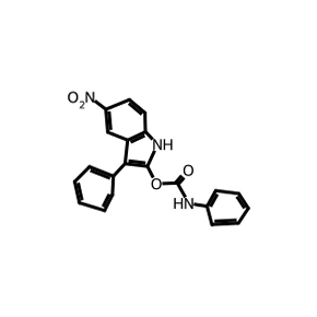 O=C(Nc1ccccc1)Oc1[nH]c2ccc([N+](=O)[O-])cc2c1-c1ccccc1